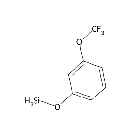 FC(F)(F)Oc1cccc(O[SiH3])c1